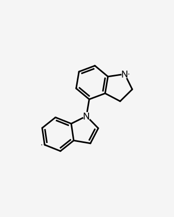 [c]1ccc2c(c1)ccn2-c1cccc2c1CC[N]2